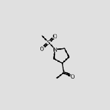 CC(=O)[C@@H]1CCN(S(C)(=O)=O)C1